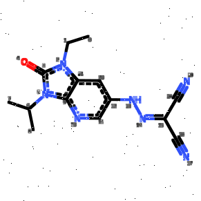 CCn1c(=O)n(C(C)C)c2ncc(NN=C(C#N)C#N)cc21